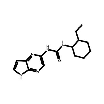 CCC1CCCCC1NC(=O)Nc1cnc2[nH]ccc2n1